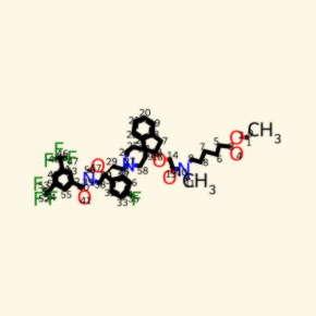 CCOC(=O)CCCCCN(C)C(=O)CO[C@H]1Cc2ccccc2C12CCN(CC[C@@]1(c3ccc(F)cc3)CN(C(=O)c3cc(C(F)(F)F)cc(C(F)(F)F)c3)CO1)CC2